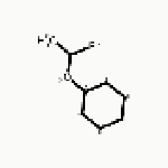 CC(F)OC1CCCCC1